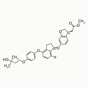 COC(=O)C[C@@H]1COc2cc(O[C@@H]3CCc4c(Oc5ccc(OCCC(C)(C)O)cc5)ccc(F)c43)ccc21